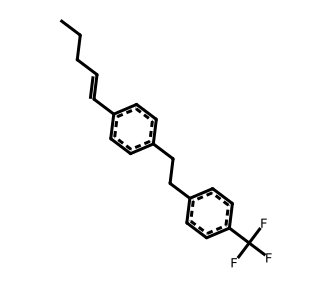 CCCC=Cc1ccc(CCc2ccc(C(F)(F)F)cc2)cc1